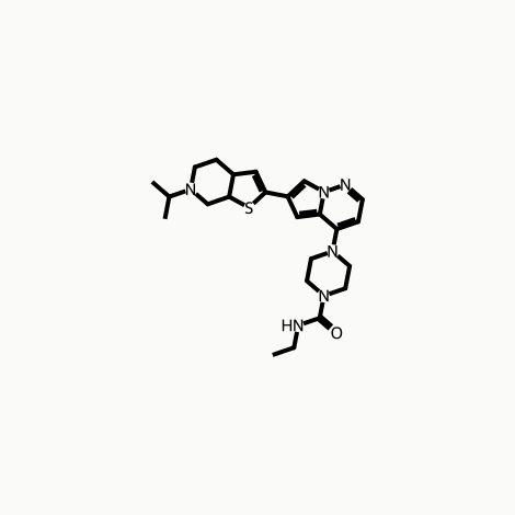 CCNC(=O)N1CCN(c2ccnn3cc(C4=CC5CCN(C(C)C)CC5S4)cc23)CC1